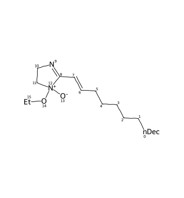 CCCCCCCCCCCCCCC/C=C/C1=NCC[N+]1([O-])OCC